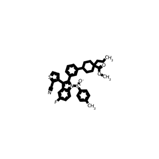 CCCC1(C(=O)OC)CCC(c2cccc(-c3c(-c4ccsc4C#N)c4cc(F)ccc4n3[S+]([O-])c3ccc(C)cc3)c2)CC1